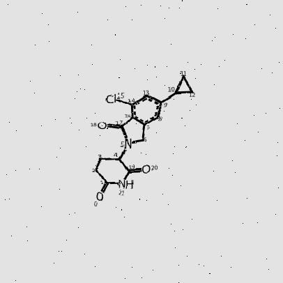 O=C1CCC(N2Cc3cc(C4CC4)cc(Cl)c3C2=O)C(=O)N1